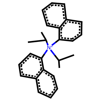 CC(C)[N+](c1cccc2ccccc12)(c1cccc2ccccc12)C(C)C